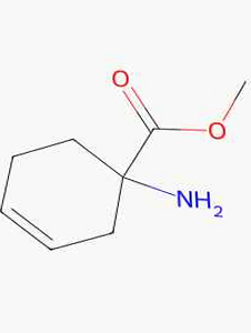 COC(=O)C1(N)CC=CCC1